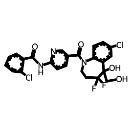 O=C(Nc1ccc(C(=O)N2CCC(F)(F)C(O)(CO)c3cc(Cl)ccc32)cn1)c1ccccc1Cl